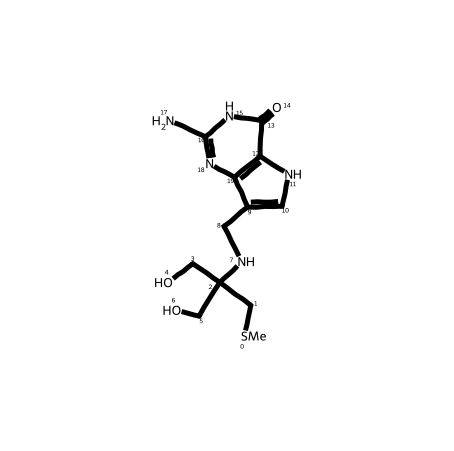 CSCC(CO)(CO)NCc1c[nH]c2c(=O)[nH]c(N)nc12